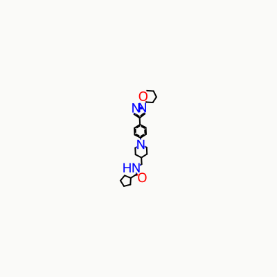 O=C(NCC1CCN(c2ccc(-c3cnn(C4CCCCO4)c3)cc2)CC1)C1CCCC1